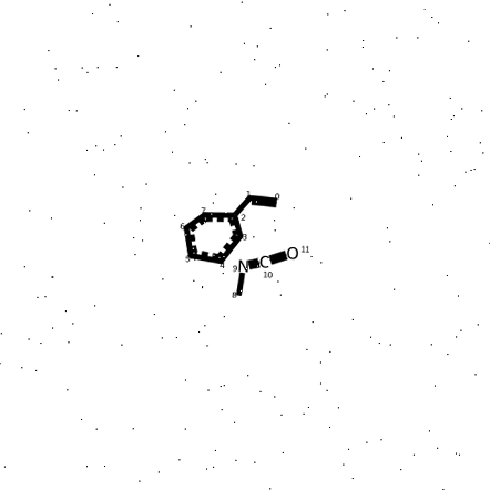 C=Cc1ccccc1.CN=C=O